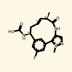 C[C@@H]1/C=C/C[C@H](NC(=O)O)c2cc(F)cc(c2)-c2c(cnn2C)NC1=O